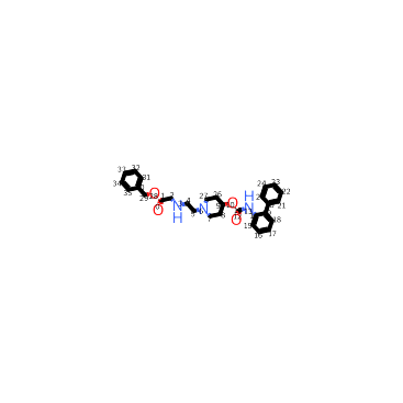 O=C(CNCCN1CCC(OC(=O)Nc2ccccc2-c2ccccc2)CC1)OCc1ccccc1